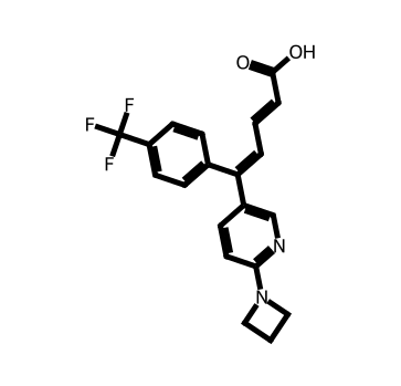 O=C(O)/C=C/C=C(\c1ccc(C(F)(F)F)cc1)c1ccc(N2CCC2)nc1